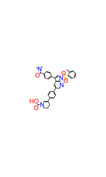 Cc1ccccc1S(=O)(=O)n1cc(-c2ccc(C(=O)N(C)C)cc2)c2cc(-c3ccc(C4=CN(C(=O)O)CCC4)cc3)cnc21